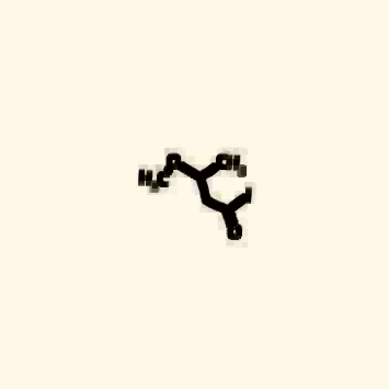 COC(C)CC(=O)I